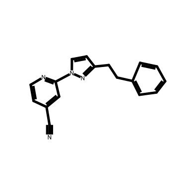 N#Cc1ccnc(-n2ccc(CCc3ccccc3)n2)c1